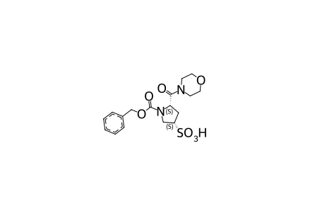 O=C([C@@H]1C[C@H](S(=O)(=O)O)CN1C(=O)OCc1ccccc1)N1CCOCC1